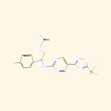 CC(=O)NCC(Nc1ncc(-c2noc(C(F)(F)F)n2)cn1)c1ccc(F)cc1